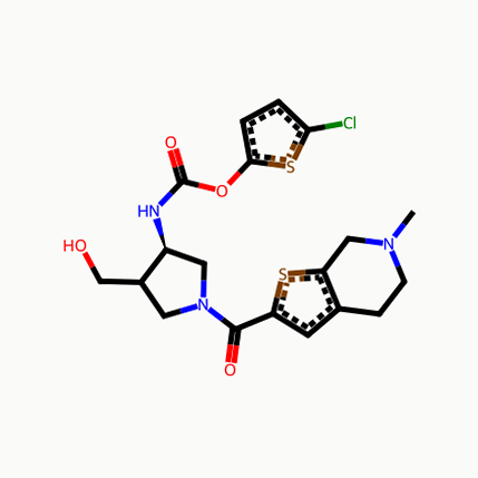 CN1CCc2cc(C(=O)N3CC(CO)[C@@H](NC(=O)Oc4ccc(Cl)s4)C3)sc2C1